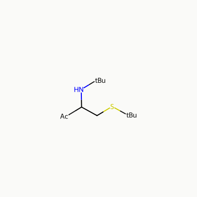 CC(=O)C(CSC(C)(C)C)NC(C)(C)C